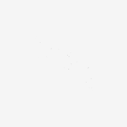 Cc1cc(Cc2cccc(Cc3ccc(O)c(O)c3)n2)ccc1O